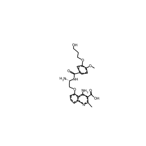 COc1ccc(C(=O)N[C@@H](N)COc2cccc3nc(C)c(C(=O)O)c(N)c23)cc1OCCCO